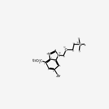 CCOC(=O)c1cc(Br)cc2c1ncn2COCC[Si](C)(C)C